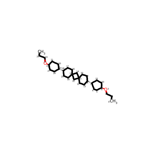 CCCO[C@H]1CC[C@H](C2CCC3(CC2)CC2(CCC([C@H]4CC[C@H](OCCC)CC4)CC2)C3)CC1